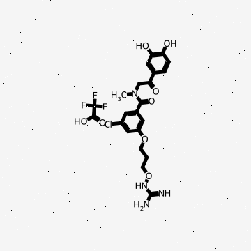 CN(CC(=O)c1ccc(O)c(O)c1)C(=O)c1cc(Cl)cc(OCCCONC(=N)N)c1.O=C(O)C(F)(F)F